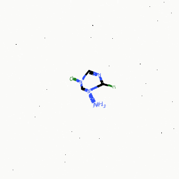 NN1CN(Cl)C=NC1Cl